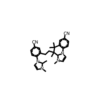 CC1N(C)C=CN1c1ccc(C#N)cc1CCC1(C)C2N(C)C=CN2c2ccc(C#N)cc2C1(C)C